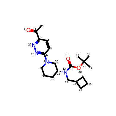 CC(=O)c1ccc(N2CCC[C@@H](N(CC3CCC3)C(=O)OC(C)(C)C)C2)nn1